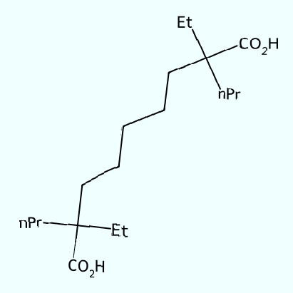 CCCC(CC)(CCCCCC(CC)(CCC)C(=O)O)C(=O)O